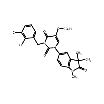 CN1C(=O)C(C)(C)c2cc(-n3cc(OC(=O)O)c(=O)n(Cc4cccc(Cl)c4Cl)c3=O)ccc21